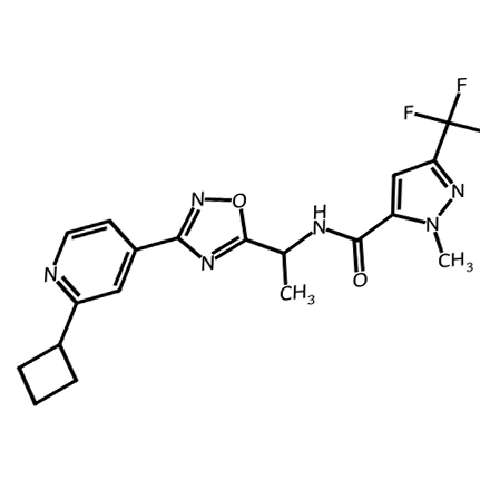 CC(NC(=O)c1cc(C(F)(F)F)nn1C)c1nc(-c2ccnc(C3CCC3)c2)no1